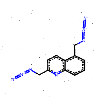 [N-]=[N+]=NCc1ccc2c(CN=[N+]=[N-])cccc2n1